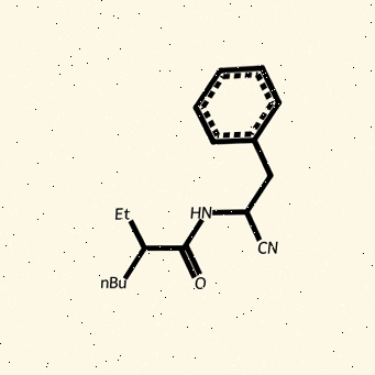 CCCCC(CC)C(=O)NC(C#N)Cc1ccccc1